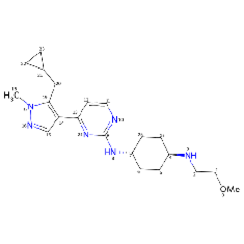 COCCN[C@H]1CC[C@H](Nc2nccc(-c3cnn(C)c3CC3CC3)n2)CC1